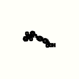 O=C(O)CN1CCC(N2CCN(CCc3cccc(N4C(=O)c5ccccc5C4=O)n3)CC2)CC1